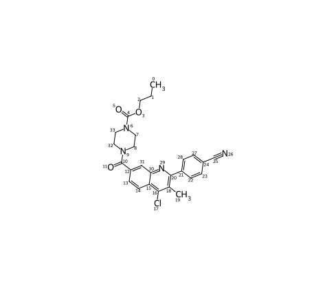 CCCOC(=O)N1CCN(C(=O)c2ccc3c(Cl)c(C)c(-c4ccc(C#N)cc4)nc3c2)CC1